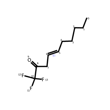 CCCCC/C=C/CC(=O)C(F)(F)F